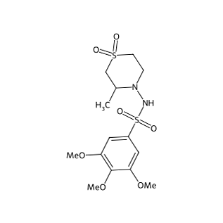 COc1cc(S(=O)(=O)NN2CCS(=O)(=O)CC2C)cc(OC)c1OC